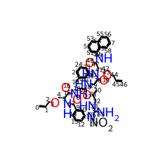 C=CCOC[C@H](NC(=O)c1ccccc1)C(=O)N[C@H](Cc1ccccc1)C(=O)N[C@@H](CCCN/C(N)=N/[N+](=O)[O-])C(=O)N[C@@H](COCC=C)C(=O)Nc1cccc2ccccc12